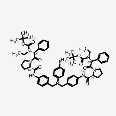 CCN(C(=O)OC(C)(C)C)[C@@H](C(=O)N1CCC[C@H]1C(=O)Nc1ccc(CN(Cc2ccc(NC(=O)[C@@H]3CCCN3C(=O)[C@@H](c3ccccc3)N(CC)C(=O)OC(C)(C)C)cc2)c2ccc(F)cc2)cc1)c1ccccc1